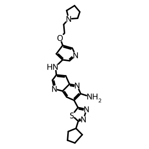 Nc1nc2cc(Nc3cncc(OCCN4CCCC4)c3)cnc2cc1-c1nnc(C2CCCC2)s1